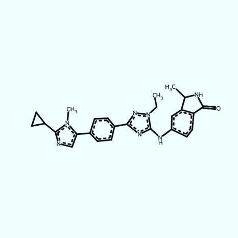 CCn1nc(-c2ccc(-c3cnc(C4CC4)n3C)cc2)nc1Nc1ccc2c(c1)C(C)NC2=O